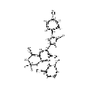 CCc1cccc(CC)c1-n1c2c(cc(-c3nc(-c4ccc(Cl)cc4)c(C)s3)c1=O)C(=O)CC(C)(C)C2